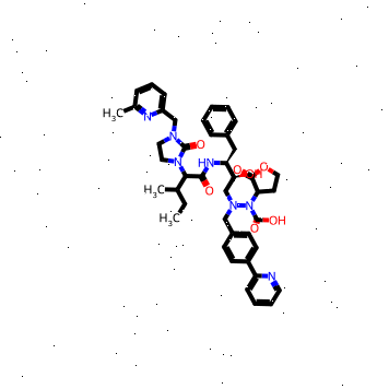 CCC(C)C(C(=O)N[C@@H](Cc1ccccc1)[C@@H](O)CN(Cc1ccc(-c2ccccn2)cc1)N(C(=O)O)C1CCOC1=O)N1CCN(Cc2cccc(C)n2)C1=O